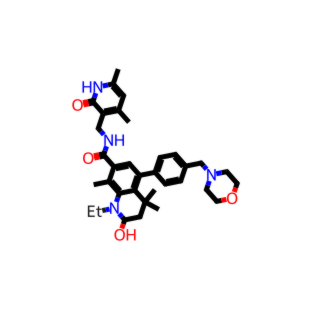 CCN1c2c(C)c(C(=O)NCc3c(C)cc(C)[nH]c3=O)cc(-c3ccc(CN4CCOCC4)cc3)c2C(C)(C)CC1O